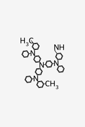 Cc1cccc(N(c2ccccc2)c2ccc(N(c3ccc(N(c4ccccc4)c4cccc(C)c4)cc3)c3ccc(N(c4ccccc4)c4cccc(C=N)c4)cc3)cc2)c1